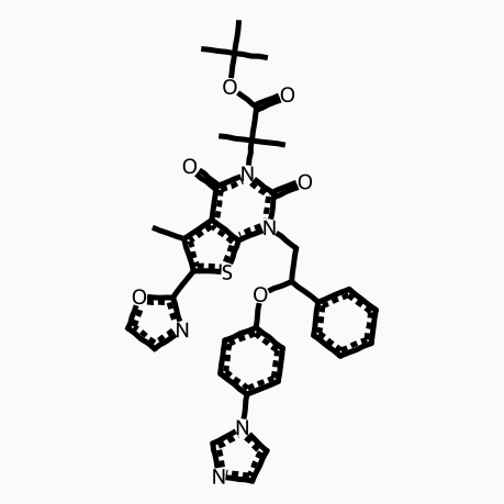 Cc1c(-c2ncco2)sc2c1c(=O)n(C(C)(C)C(=O)OC(C)(C)C)c(=O)n2CC(Oc1ccc(-n2ccnc2)cc1)c1ccccc1